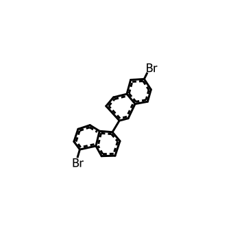 Brc1ccc2cc(-c3cccc4c(Br)cccc34)ccc2c1